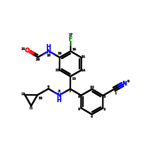 N#Cc1cccc(C(NCC2CC2)c2ccc(F)c(NC=O)c2)c1